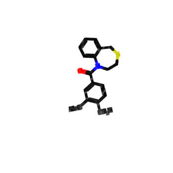 COc1cc(C(=O)N2CCSCc3ccccc32)ccc1C(=O)O